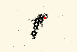 C[C@H]1C[C@@H]2[C@H]([C@@H](O)C[C@@]3(C)[C@H]2CC[C@@]32OCOC23COCO3)[C@@]2(C)Cc3cn(-c4ccc(O)cc4)nc3C=C12